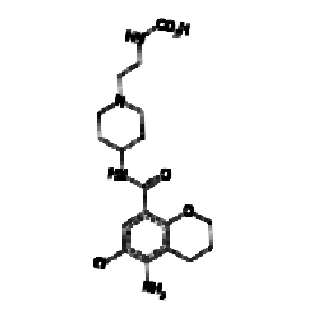 Nc1c(Cl)cc(C(=O)NC2CCN(CCNC(=O)O)CC2)c2c1CCCO2